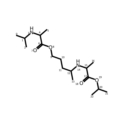 CC(C)NC(C)C(=O)OCCCC(C)NC(C)C(=O)OC(C)C